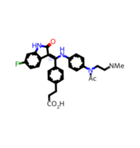 CNCCN(C(C)=O)c1ccc(N/C(=C2\C(=O)Nc3cc(F)ccc32)c2ccc(CCC(=O)O)cc2)cc1